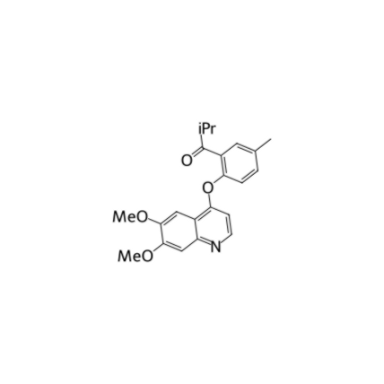 COc1cc2nccc(Oc3ccc(C)cc3C(=O)C(C)C)c2cc1OC